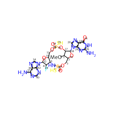 COC1C2CO[P@@](=O)(S)NC3C(CO[P@](=O)(S)OC1C(n1cnc4c(=O)[nH]c(N)nc41)O2)OC(n1cnc2c(N)ncnc21)C3F